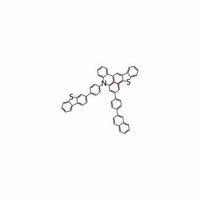 c1cc(-c2ccc(-c3ccc4ccccc4c3)cc2)cc(N(c2ccc(-c3ccc4c(c3)sc3ccccc34)cc2)c2ccccc2-c2ccc3sc4ccccc4c3c2)c1